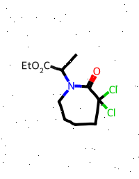 CCOC(=O)C(C)N1CCCCC(Cl)(Cl)C1=O